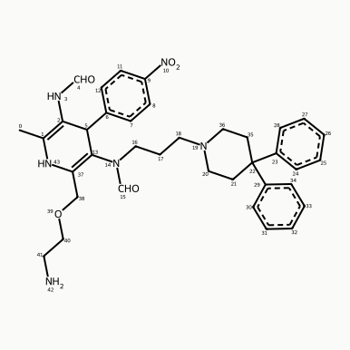 CC1=C(NC=O)C(c2ccc([N+](=O)[O-])cc2)C(N(C=O)CCCN2CCC(c3ccccc3)(c3ccccc3)CC2)=C(COCCN)N1